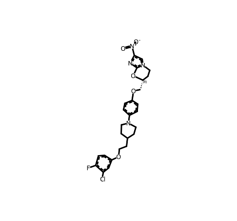 O=[N+]([O-])c1cn2c(n1)O[C@@H](COc1ccc(N3CCC(CCOc4ccc(F)c(Cl)c4)CC3)cc1)CC2